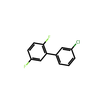 Fc1ccc(F)c(-c2cccc(Cl)c2)c1